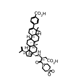 C=C(C)[C@@H]1CC[C@]2(CN[C@@H](CC(=O)O)C(=O)N3CCS(=O)(=O)CC3)CC[C@]3(C)[C@H](CC[C@@H]4[C@@]5(C)CC=C(c6ccc(C(=O)O)cc6)C(C)(C)[C@@H]5CC[C@]43C)[C@@H]12